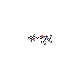 c1cc(-c2cc3ccccc3c3ccccc23)cc(N(c2ccc(-c3ccc4c(c3)oc3cc(-c5cccc(-c6cccc7ccccc67)c5N(c5cccc(-c6cc7ccccc7c7ccccc67)c5)c5ccc6c(c5)sc5ccccc56)ccc34)cc2)c2ccccc2-c2cccc3ccccc23)c1